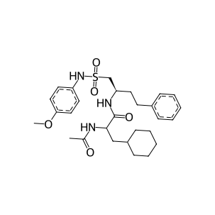 COc1ccc(NS(=O)(=O)C[C@@H](CCc2ccccc2)NC(=O)C(CC2CCCCC2)NC(C)=O)cc1